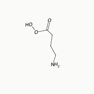 NCCCC(=O)OO